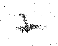 CCCc1cc(Cl)ccc1C1COc2ccc(C(O)COCC(=O)O)cc2N(CCCCCCCCN(C)C(C)=O)C1